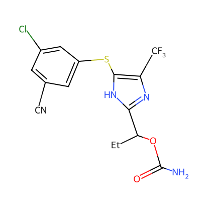 CCC(OC(N)=O)c1nc(C(F)(F)F)c(Sc2cc(Cl)cc(C#N)c2)[nH]1